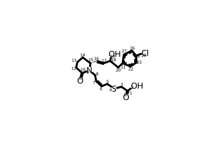 O=C(O)CSC/C=C\CN1C(=O)CCC[C@@H]1/C=C/C(O)Cc1ccc(Cl)cc1